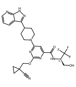 N#CC1(COc2nc(C(=O)N[C@H](CO)C(F)(F)F)cc(N3CCC(c4n[nH]c5ncccc45)CC3)n2)CC1